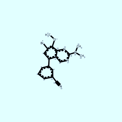 COc1c(Br)cc(-c2cccc(C#N)c2)c2cnc(N(C)C)nc12